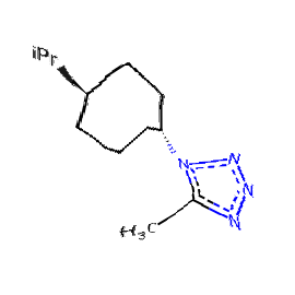 Cc1nnnn1[C@H]1CC[C@H](C(C)C)CC1